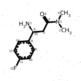 CN(C)C(=O)C[C@H](N)c1ccc(F)cc1